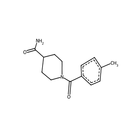 Cc1ccc(C(=O)N2CCC(C(N)=O)CC2)cc1